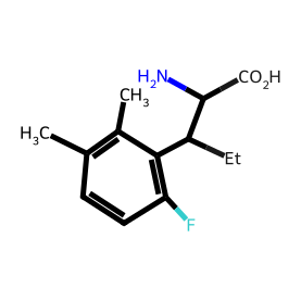 CCC(c1c(F)ccc(C)c1C)C(N)C(=O)O